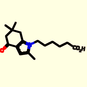 Cc1cc2c(n1CCCCCC(=O)O)CC(C)(C)CC2=O